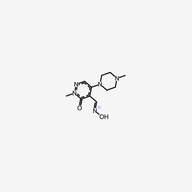 CN1CCN(c2cnn(C)c(=O)c2/C=N/O)CC1